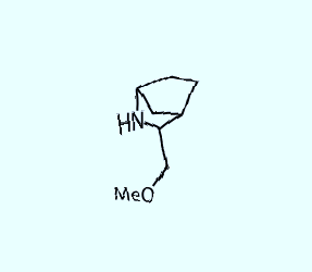 COCC1NC2CCC1C2